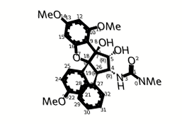 CNC(=O)N[C@H]1[C@@H](O)[C@@]2(O)c3c(OC)cc(OC)cc3O[C@@]2(c2ccc(OC)cc2)[C@@H]1c1ccccc1